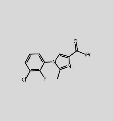 Cc1nc(C(=O)C(C)C)cn1-c1cccc(Cl)c1F